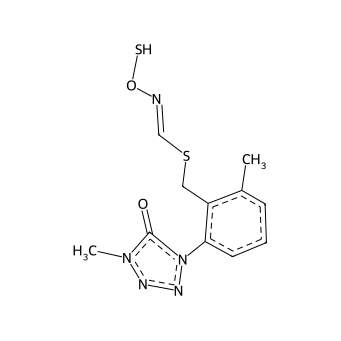 Cc1cccc(-n2nnn(C)c2=O)c1CSC=NOS